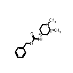 C[C@H]1C[C@H](NC(=O)OCc2ccccc2)CCN1C